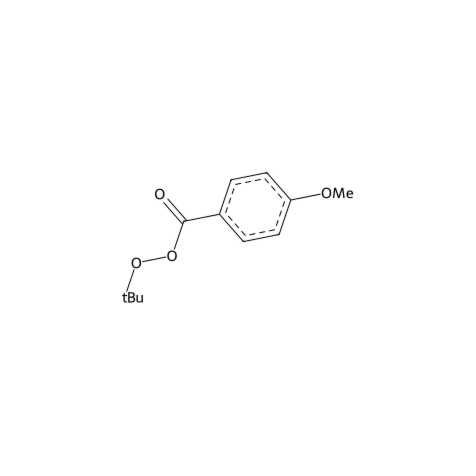 COc1ccc(C(=O)OOC(C)(C)C)cc1